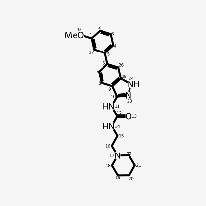 COc1cccc(-c2ccc3c(NC(=O)NCCN4CCCCC4)n[nH]c3c2)c1